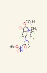 CC(C)(C)OC(=O)NCC12CN(c3cc4c(cc3F)c(=O)c(OC(=O)O)cn4C(C)(C)CF)CC1CCO2